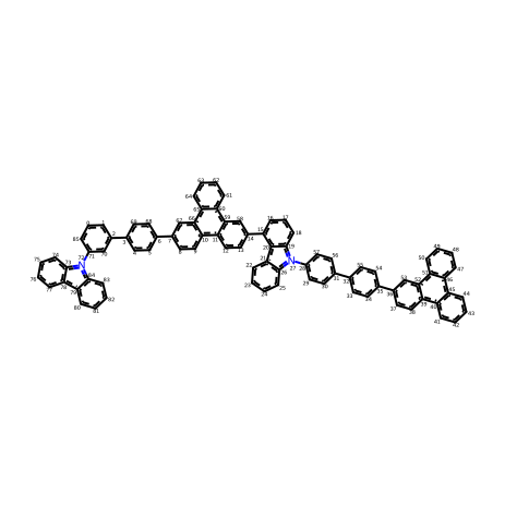 c1cc(-c2ccc(-c3ccc4c5ccc(-c6cccc7c6c6ccccc6n7-c6ccc(-c7ccc(-c8ccc9c%10ccccc%10c%10ccccc%10c9c8)cc7)cc6)cc5c5ccccc5c4c3)cc2)cc(-n2c3ccccc3c3ccccc32)c1